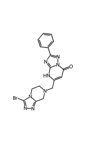 O=c1cc(CN2CCn3c(Br)nnc3C2)[nH]c2nc(-c3ccccc3)nn12